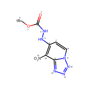 CC(C)(C)OC(=O)NNc1ccn2nnnc2c1[N+](=O)[O-]